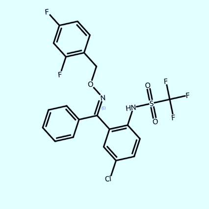 O=S(=O)(Nc1ccc(Cl)cc1/C(=N/OCc1ccc(F)cc1F)c1ccccc1)C(F)(F)F